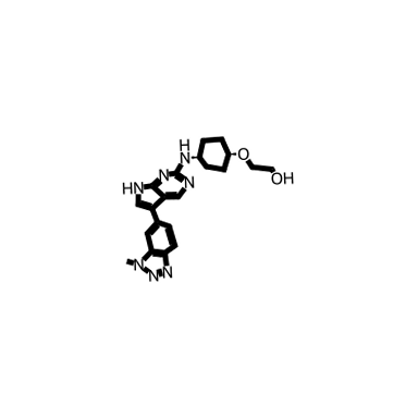 Cn1nnc2ccc(-c3c[nH]c4nc(N[C@H]5CC[C@@H](OCCO)CC5)ncc34)cc21